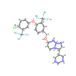 FC(F)(F)c1cc(Oc2ccc(COc3ccn4c(-c5cncnc5)cnc4n3)cc2C(F)(F)F)ccc1Cl